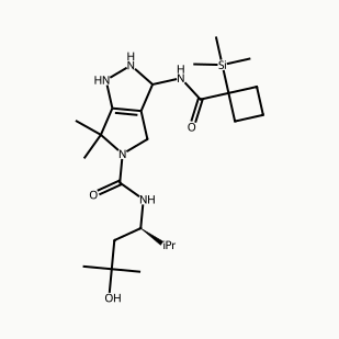 CC(C)[C@@H](CC(C)(C)O)NC(=O)N1CC2=C(NNC2NC(=O)C2([Si](C)(C)C)CCC2)C1(C)C